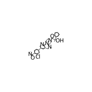 C/N=C/c1cc(-c2ccc(C(=O)N(C)C)c(Cl)c2)cnc1N1CCN(C(=O)C(C)(O)c2ccccc2)CC1